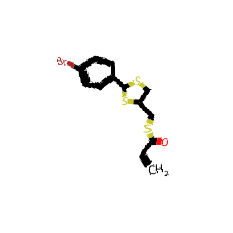 C=CC(=O)SCC1CSC(c2ccc(Br)cc2)S1